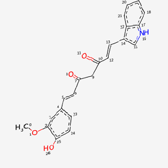 COc1cc(C=CC(=O)CC(=O)C=Cc2c[nH]c3ccccc23)ccc1O